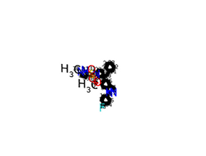 COc1cc2c(cnn2-c2ccc(F)cc2)cc1C1(Cc2ccccc2)CCN(S(=O)(=O)c2ccn(C)n2)C1